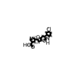 O=C1Nc2ccc(Cl)cc2/C1=C/c1ccc(-c2cncc(C(=O)O)c2)o1